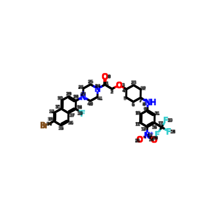 O=C(COC1CCC(Nc2ccc([N+](=O)[O-])c(C(F)(F)F)c2)CC1)N1CCN(c2ccc3cc(Br)ccc3c2F)CC1